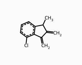 C=C1C(=C)C(C)c2cccc(Cl)c21